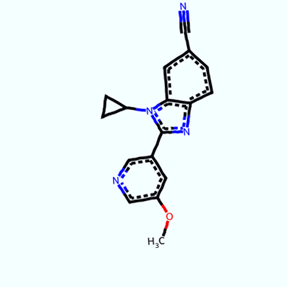 COc1cncc(-c2nc3ccc(C#N)cc3n2C2CC2)c1